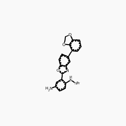 CCCNc1ccc(N)cc1-c1nc2cc(-c3cccc4c3OCO4)ccc2o1